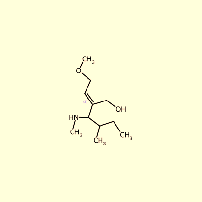 CCC(C)C(NC)/C(=C/COC)CO